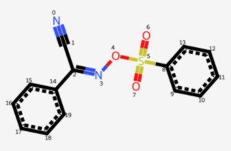 N#C/C(=N\OS(=O)(=O)c1ccccc1)c1ccccc1